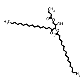 CCCCCCCCCCCCCCCC(=O)OC(C(=O)CCCCCCCCCCCCCCC)C(O)COC(=O)CCC